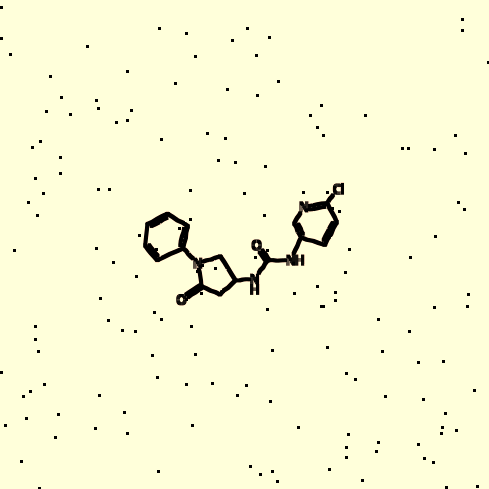 O=C(Nc1ccc(Cl)nc1)NC1CC(=O)N(c2ccccc2)C1